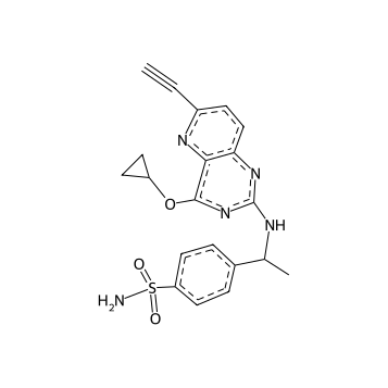 C#Cc1ccc2nc(NC(C)c3ccc(S(N)(=O)=O)cc3)nc(OC3CC3)c2n1